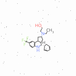 CCN(CCO)[C@H]1CC2c3cc(C(F)(F)F)ccc3N[C@@H](C3C=CC=CC3)[C@@H]2C1